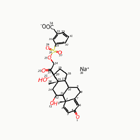 C[C@]12C=CC(=O)C=C1CCC1C2C(O)C[C@@]2(C)C1CC[C@]2(O)C(=O)COS(=O)(=O)c1cccc(C(=O)[O-])c1.[Na+]